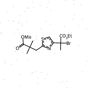 CCOC(=O)C(C)(Br)c1csc(CC(C)(C)C(=O)OC)n1